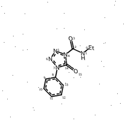 CCNC(=O)n1nnn(-c2ccccc2)c1=O